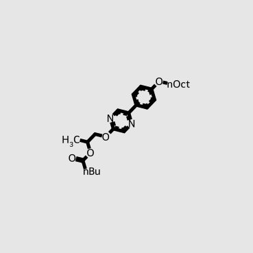 CCCCCCCCOc1ccc(-c2cnc(OCC(C)OC(=O)CCCC)cn2)cc1